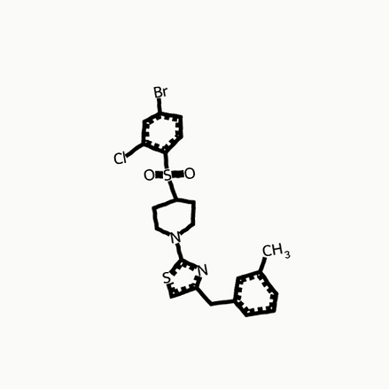 Cc1cccc(Cc2csc(N3CCC(S(=O)(=O)c4ccc(Br)cc4Cl)CC3)n2)c1